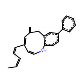 C=C1/C=C(/C=C\C=C/C)\C=C/Nc2ccc(-c3ccccc3)cc2C1